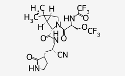 CC1(C)[C@@H]2[C@@H](C(=O)N[C@H](C#N)C[C@@H]3CCNC3=O)N(C(=O)[C@H](COC(F)(F)F)NC(=O)C(F)(F)F)C[C@@H]21